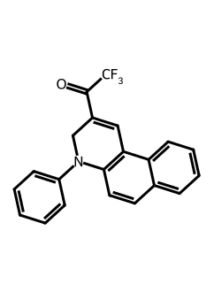 O=C(C1=Cc2c(ccc3ccccc23)N(c2ccccc2)C1)C(F)(F)F